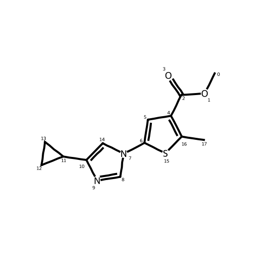 COC(=O)c1cc(-n2cnc(C3CC3)c2)sc1C